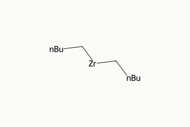 CCCC[CH2][Zr][CH2]CCCC